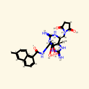 Cc1ccc2c(C(=O)NC3CN4C(=N)N[C@@H](CN5C(=O)CCC5=O)[C@@H]5NC(=N)NC54C3(O)O)cccc2c1